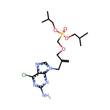 C=C(COCP(=O)(OCC(C)C)OCC(C)C)Cn1cnc2c(Cl)nc(N)nc21